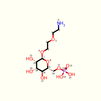 NCCOCCO[C@H]1O[C@H](COP(=O)(O)O)[C@@H](O)[C@H](O)[C@@H]1O